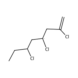 C=C(Cl)C[C](Cl)CC(Cl)CC